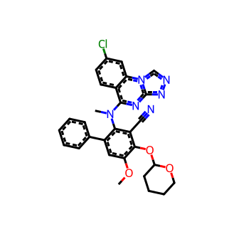 COc1cc(-c2ccccc2)c(N(C)c2nc3nncn3c3cc(Cl)ccc23)c(C#N)c1OC1CCCCO1